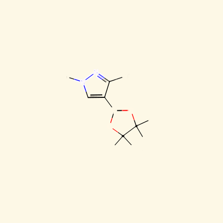 CCn1cc(B2OC(C)(C)C(C)(C)O2)c(C(F)(F)F)n1